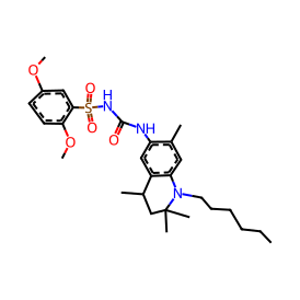 CCCCCCN1c2cc(C)c(NC(=O)NS(=O)(=O)c3cc(OC)ccc3OC)cc2C(C)CC1(C)C